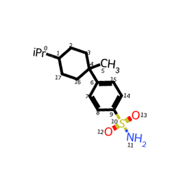 CC(C)C1CCC(C)(c2ccc(S(N)(=O)=O)cc2)CC1